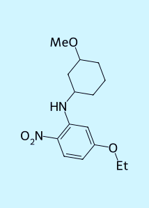 CCOc1ccc([N+](=O)[O-])c(NC2CCCC(OC)C2)c1